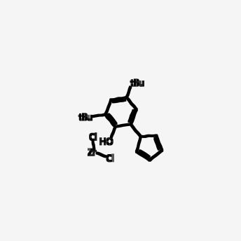 CC(C)(C)c1cc(C2C=CC=C2)c(O)c(C(C)(C)C)c1.[Cl][Zr][Cl]